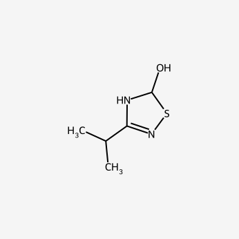 CC(C)C1=NSC(O)N1